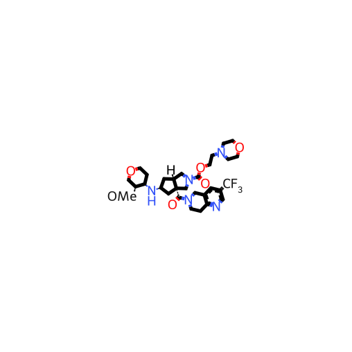 CO[C@@H]1COCC[C@@H]1N[C@@H]1C[C@H]2CN(C(=O)OCCN3CCOCC3)C[C@@]2(C(=O)N2CCc3ncc(C(F)(F)F)cc3C2)C1